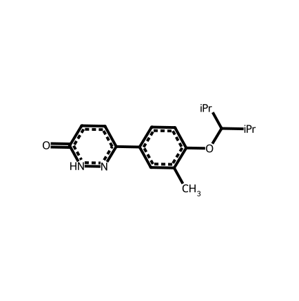 Cc1cc(-c2ccc(=O)[nH]n2)ccc1OC(C(C)C)C(C)C